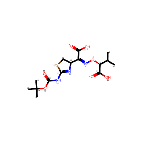 CC(C)[C@H](O/N=C(\C(=O)O)C1CSC(NC(=O)OC(C)(C)C)=N1)C(=O)O